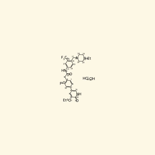 CCOc1cc(-c2ccc(CC(=O)Nc3ccc(CN4CCN(CC)CC4)c(C(F)(F)F)c3)c(F)c2)c[nH]c1=O.Cl.Cl